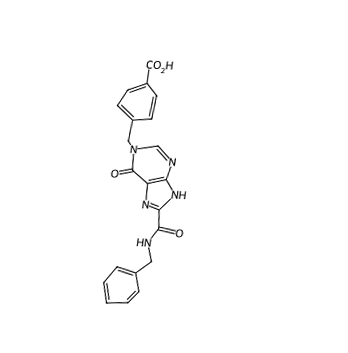 O=C(O)c1ccc(Cn2cnc3[nH]c(C(=O)NCc4ccccc4)nc3c2=O)cc1